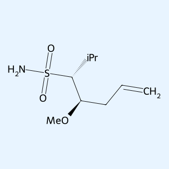 C=CC[C@@H](OC)[C@@H](C(C)C)S(N)(=O)=O